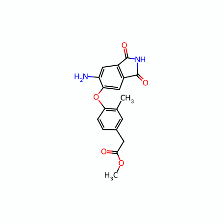 COC(=O)Cc1ccc(Oc2cc3c(cc2N)C(=O)NC3=O)c(C)c1